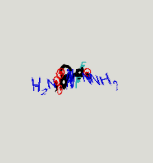 C[C@H](Oc1cc2c3c(c1)nc(-c1cc(F)c4oc(N)nc4c1F)n3CCCCO2)C(N)=O